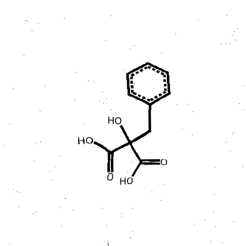 O=C(O)C(O)(Cc1ccccc1)C(=O)O